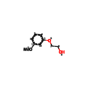 COc1cccc(OCCO)c1